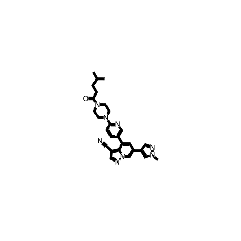 CC(C)CCC(=O)N1CCN(c2ccc(-c3cc(-c4cnn(C)c4)cn4ncc(C#N)c34)cn2)CC1